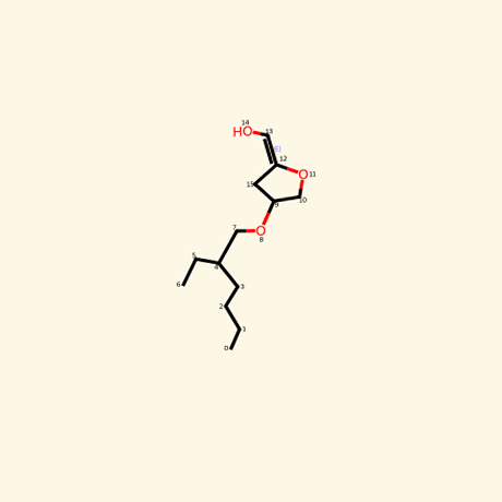 CCCCC(CC)COC1CO/C(=C/O)C1